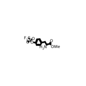 COC(=O)[C@@H](N)Cc1ccc(OS(=O)(=O)C(F)(F)F)cc1